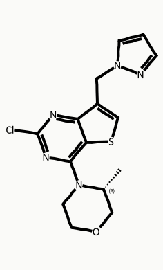 C[C@@H]1COCCN1c1nc(Cl)nc2c(Cn3cccn3)csc12